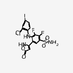 NS(=O)(=O)c1cc(-c2cc(=O)o[nH]2)c(Nc2ccc(I)cc2Cl)c(F)c1F